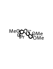 COc1cc2c(cc1OC(C)C)-c1cc3ccc(OC)c(OC)c3c[n+]1CC2